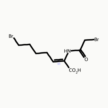 O=C(CBr)N/C(=C\CCCCBr)C(=O)O